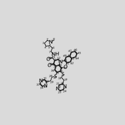 CN1CCCC1CCNC(=O)c1cn2c3c(c(SCCc4cnccn4)c(SCCc4cnccn4)cc3c1=O)Oc1cc3ccccc3cc1-2